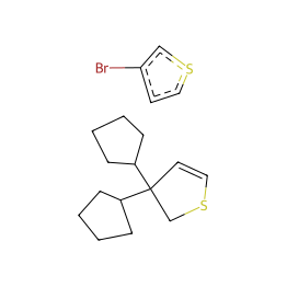 Brc1ccsc1.C1=CC(C2CCCC2)(C2CCCC2)CS1